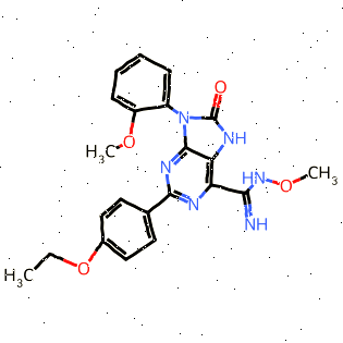 CCOc1ccc(-c2nc(C(=N)NOC)c3[nH]c(=O)n(-c4ccccc4OC)c3n2)cc1